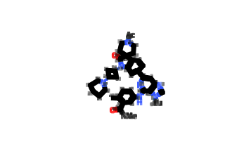 CC[C@H](C)n1cnc2cc(-c3ccc4c(c3)N([C@H]3C[C@@H](N5CCCCC5)C3)C(=O)C43CCN(C(C)=O)CC3)nc(Nc3ccc(C)c(C(=O)NC)c3)c21